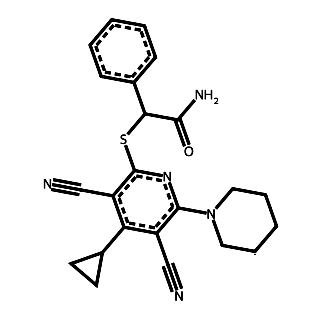 N#Cc1c(SC(C(N)=O)c2ccccc2)nc(N2C[CH]CCC2)c(C#N)c1C1CC1